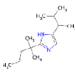 CCCC(C)(C)c1ncc(C(C)C(C)C)[nH]1